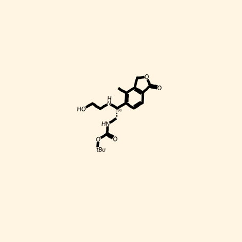 Cc1c([C@H](CNC(=O)OC(C)(C)C)NCCO)ccc2c1COC2=O